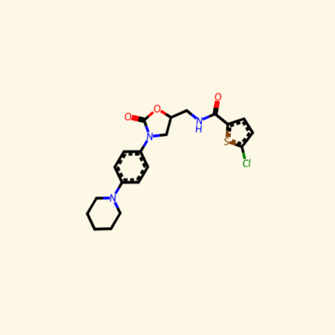 O=C(NCC1CN(c2ccc(N3CCCCC3)cc2)C(=O)O1)c1ccc(Cl)s1